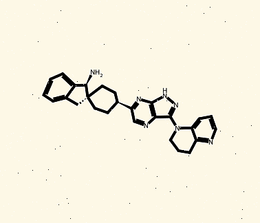 N[C@@H]1c2ccccc2C[C@]12CC[C@H](c1cnc3c(N4CCCc5ncccc54)n[nH]c3n1)CC2